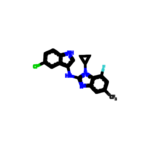 Fc1cc(C(F)(F)F)cc2nc(Nc3c[nH]c4ccc(Cl)cc34)n(C3CC3)c12